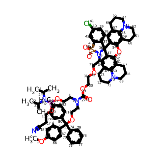 COc1ccc(C(OCCN(CCOP(OCCC#N)N(C(C)C)C(C)C)C(=O)OCCOCCN2C3(c4ccc(Cl)cc4S2(=O)=O)c2cc4c5c(c2Oc2c3cc3c6c2CCCN6CCC3)CCCN5CCC4)(c2ccccc2)c2ccc(C)cc2)cc1